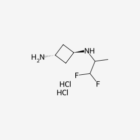 CC(N[C@H]1C[C@H](N)C1)C(F)F.Cl.Cl